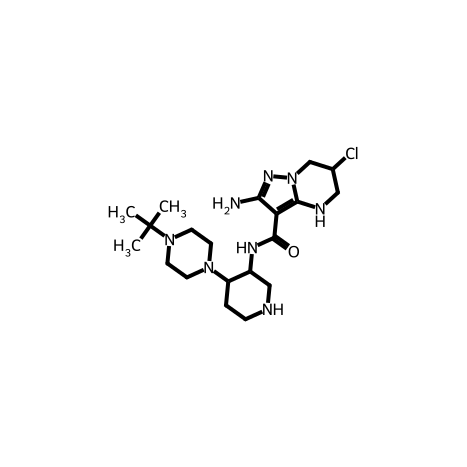 CC(C)(C)N1CCN(C2CCNCC2NC(=O)c2c(N)nn3c2NCC(Cl)C3)CC1